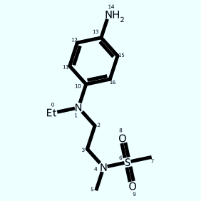 CCN(CCN(C)S(C)(=O)=O)c1ccc(N)cc1